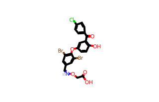 O=C(O)CO/N=C\c1cc(Br)c(Oc2ccc(O)c(C(=O)c3ccc(Cl)cc3)c2)c(Br)c1